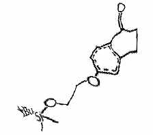 CC(C)(C)[Si](C)(C)OCCOc1ccc2c(c1)CCC2=O